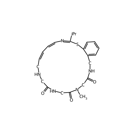 CC(C)C1=NC=CC=CCNCC(=O)NCC(=O)N(C)CC(=O)NCc2ccccc2S1